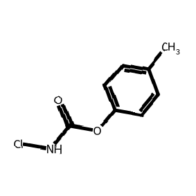 Cc1ccc(OC(=O)NCl)cc1